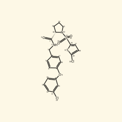 O=C(NCc1ccc(Oc2cccc(Cl)c2)cc1)[C@@H]1CCCN1S(=O)(=O)c1ccc(Cl)s1